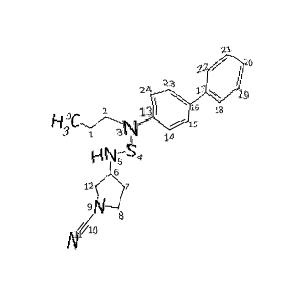 CCCN(SNC1CCN(C#N)C1)c1ccc(-c2ccccc2)cc1